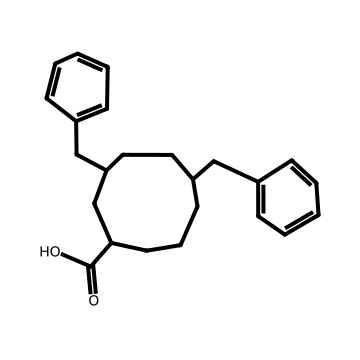 O=C(O)C1CCCC(Cc2ccccc2)CCC(Cc2ccccc2)C1